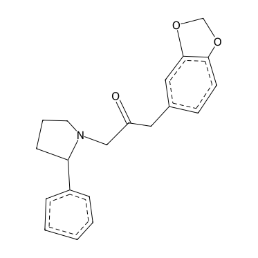 O=C(Cc1ccc2c(c1)OCO2)CN1CCCC1c1ccccc1